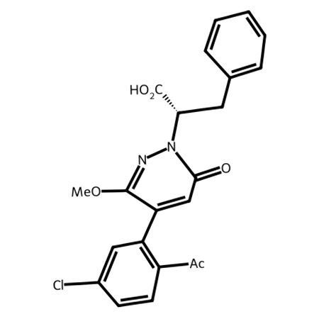 COc1nn([C@@H](Cc2ccccc2)C(=O)O)c(=O)cc1-c1cc(Cl)ccc1C(C)=O